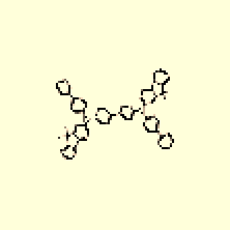 CC1(C)c2ccccc2-c2ccc(N(c3ccc(C4=CCCC=C4)cc3)c3ccc(-c4ccc(N(c5ccc(-c6ccccc6)cc5)c5ccc6c(c5)C(C)(C)c5ccccc5-6)cc4)cc3)cc21